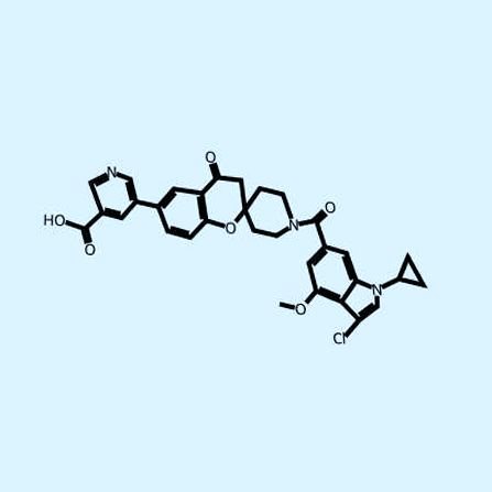 COc1cc(C(=O)N2CCC3(CC2)CC(=O)c2cc(-c4cncc(C(=O)O)c4)ccc2O3)cc2c1c(Cl)cn2C1CC1